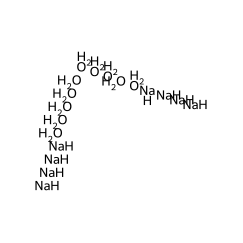 O.O.O.O.O.O.O.O.O.O.[NaH].[NaH].[NaH].[NaH].[NaH].[NaH].[NaH].[NaH]